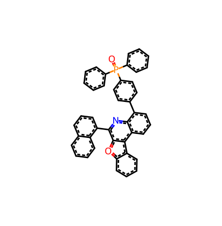 O=P(c1ccccc1)(c1ccccc1)c1ccc(-c2cccc3c2nc(-c2cccc4ccccc24)c2oc4ccccc4c23)cc1